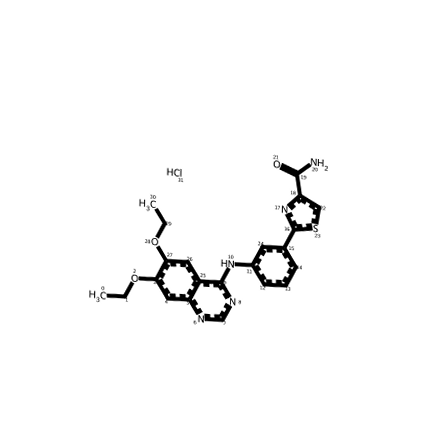 CCOc1cc2ncnc(Nc3cccc(-c4nc(C(N)=O)cs4)c3)c2cc1OCC.Cl